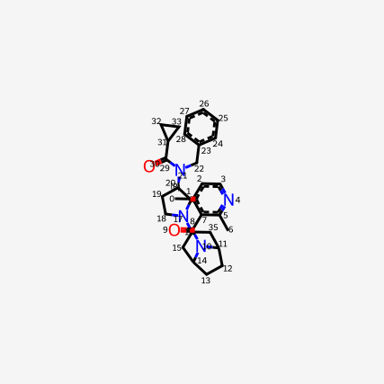 Cc1ccnc(C)c1C(=O)N1C2CCC1CC(N1CC[C@@H](N(Cc3ccccc3)C(=O)C3CC3)C1)C2